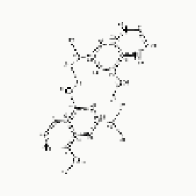 COc1nccc2c(OCCC(C)c3cc(OC)c4nccnc4c3)cc(C(C)C)cc12